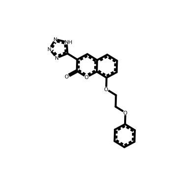 O=c1oc2c(OCCOc3ccccc3)cccc2cc1-c1nnn[nH]1